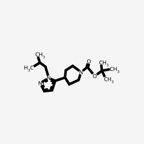 CC(C)Cn1nccc1C1CCN(C(=O)OC(C)(C)C)CC1